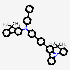 CC1(C)c2ccccc2-c2ccc(N(c3ccc(-c4ccccc4)cc3)c3ccc(-c4ccc(-c5cc6c7c(c5)c5ccccc5n7-c5ccccc5C6(C)C)cc4)cc3)cc21